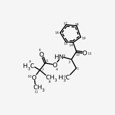 CCC(NOC(=O)C(C)(C)OC)C(=O)c1ccccc1